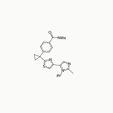 CNC(=O)c1ccc(C2(c3nc(-c4cnc(C)n4C(C)C)cs3)CC2)cc1